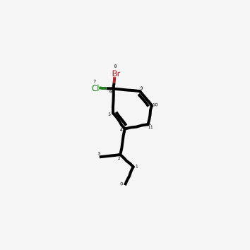 CCC(C)C1=CC(Cl)(Br)C=C[CH]1